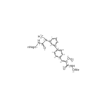 CCCCCCCNC(=O)N(C)c1cccc(-c2ccc(/C=C(\OCC)C(=O)NOC)cn2)c1